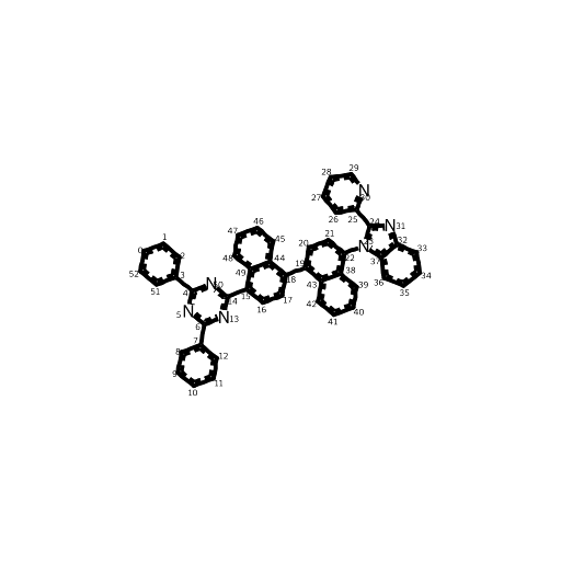 c1ccc(-c2nc(-c3ccccc3)nc(-c3ccc(-c4ccc(-n5c(-c6ccccn6)nc6ccccc65)c5ccccc45)c4ccccc34)n2)cc1